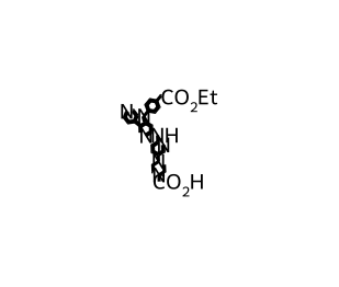 CCOC(=O)Cc1ccc(-n2c3cnccc3c3cnc(Nc4ccc(N5CCN(C(=O)O)CC5)cn4)cc32)cc1